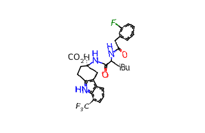 CCC(C)C(NC(=O)Cc1ccccc1F)C(=O)N[C@]1(C(=O)O)CCc2[nH]c3c(C(F)(F)F)cccc3c2C1